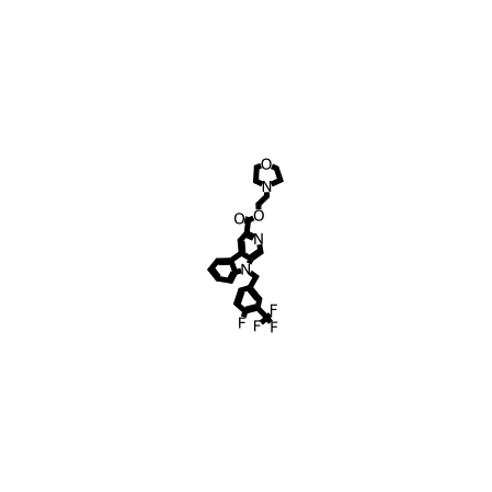 O=C(OCCN1CCOCC1)c1cc2c3ccccc3n(Cc3ccc(F)c(C(F)(F)F)c3)c2cn1